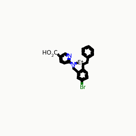 CCN(Cc1cc(Br)ccc1CCc1ccccc1)c1ccc(C(=O)O)cn1